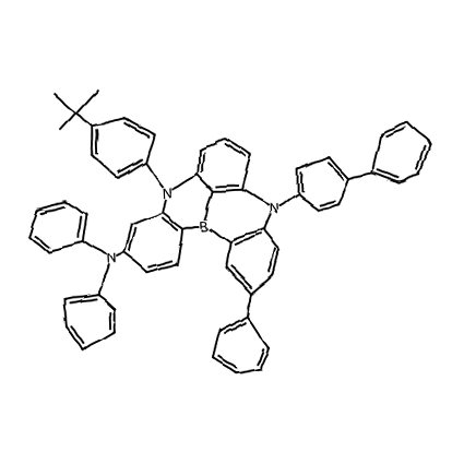 CC(C)(C)c1ccc(N2c3cc(N(c4ccccc4)c4ccccc4)ccc3B3c4cc(-c5ccccc5)ccc4N(c4ccc(-c5ccccc5)cc4)c4cccc2c43)cc1